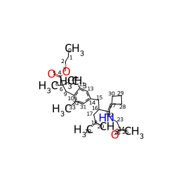 CCCOC(=O)C(C)(C)Cc1c(C)cc(CC(CC(C)C)C(NCC(C)=O)=C2CCC2)cc1C